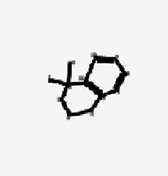 CC1(C)CCCc2[c]cccc21